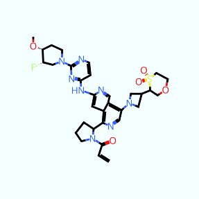 C=CC(=O)N1CCCC1c1ncc(N2CC(C3COCCS3(=O)=O)C2)c2cnc(Nc3ccnc(N4CC[C@@H](OC)[C@@H](F)C4)n3)cc12